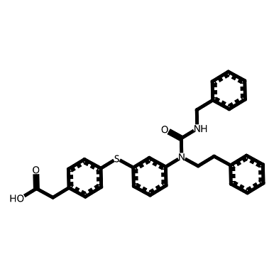 O=C(O)Cc1ccc(Sc2cccc(N(CCc3ccccc3)C(=O)NCc3ccccc3)c2)cc1